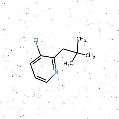 CC(C)(C)Cc1ncccc1Cl